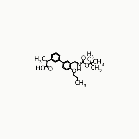 CCCOc1ccc(-c2cccc(C(C)C(=O)O)c2)cc1CNC(=O)OC(C)(C)C